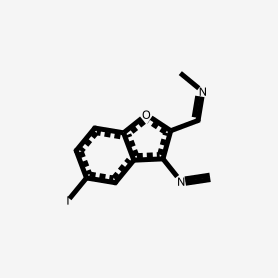 C=Nc1c(/C=N\C)oc2ccc(I)cc12